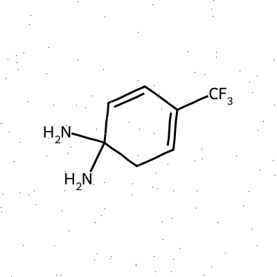 NC1(N)C=CC(C(F)(F)F)=CC1